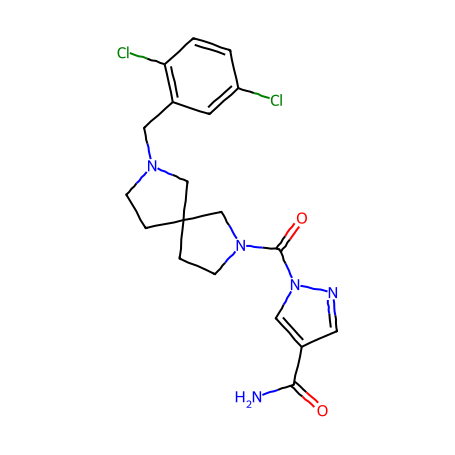 NC(=O)c1cnn(C(=O)N2CCC3(CCN(Cc4cc(Cl)ccc4Cl)C3)C2)c1